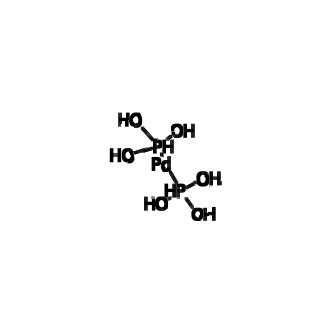 O[PH](O)(O)[Pd][PH](O)(O)O